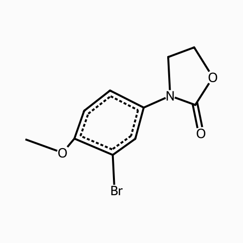 COc1ccc(N2CCOC2=O)cc1Br